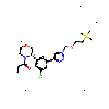 C=CC(=O)N1CCOC[C@H]1c1cc(Cl)cc(-c2cn(COCCS(C)(C)C)nn2)c1